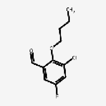 CCCCOc1c(Cl)cc(F)cc1C=O